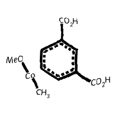 C[O][Co][CH3].O=C(O)c1cccc(C(=O)O)c1